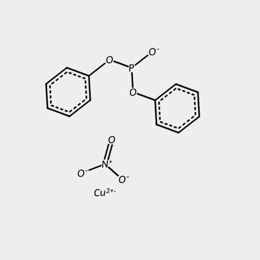 O=[N+]([O-])[O-].[Cu+2].[O-]P(Oc1ccccc1)Oc1ccccc1